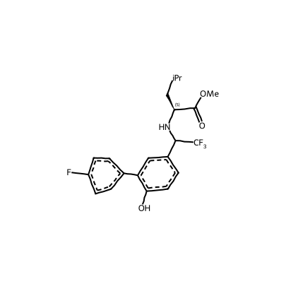 COC(=O)[C@H](CC(C)C)NC(c1ccc(O)c(-c2ccc(F)cc2)c1)C(F)(F)F